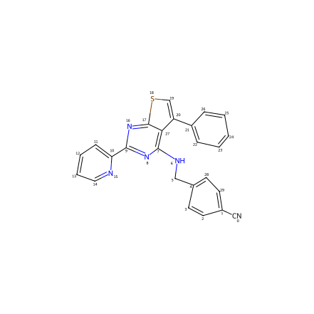 N#Cc1ccc(CNc2nc(-c3ccccn3)nc3scc(-c4ccccc4)c23)cc1